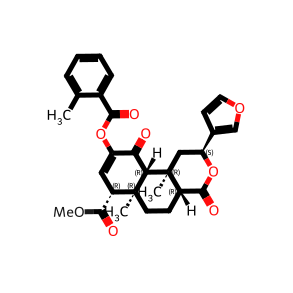 COC(=O)[C@@H]1C=C(OC(=O)c2ccccc2C)C(=O)[C@H]2[C@@]1(C)CC[C@H]1C(=O)O[C@H](c3ccoc3)C[C@]21C